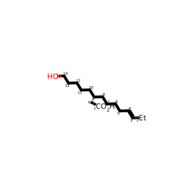 CC(=O)O.CCC=CCCCCCCCCCCO